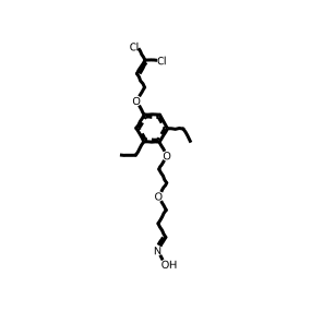 CCc1cc(OCC=C(Cl)Cl)cc(CC)c1OCCOCCC=NO